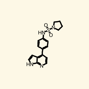 O=S(=O)(Nc1ccc(-c2ccnc3[nH]ccc23)cc1)N1CCCC1